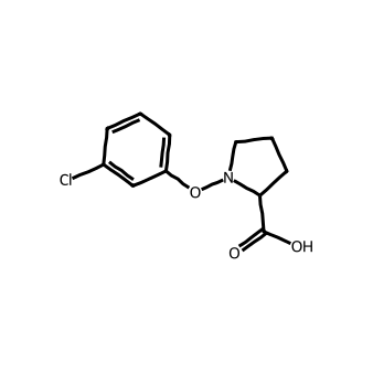 O=C(O)C1CCCN1Oc1cccc(Cl)c1